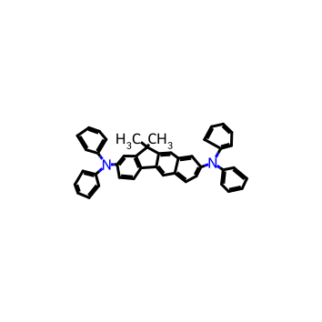 CC1(C)c2cc(N(c3ccccc3)c3ccccc3)ccc2-c2cc3ccc(N(c4ccccc4)c4ccccc4)cc3cc21